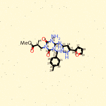 COC(=O)[C@@H](C)CN1C(=O)N(N)C(NC2C=C(c3ccco3)NN2)N(Cc2ccc(C)cc2)C1=O